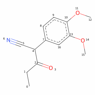 CCC(=O)C(C#N)c1ccc(OC)c(OC)c1